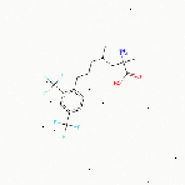 CC(CCCc1ccc(C(F)(F)F)cc1C(F)(F)F)CC(C)(N)C(=O)O